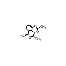 [CH]=Cc1cccc(OC(C)=O)c1OC(C)=O